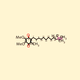 COC1=C(OC)C(=O)C(CCCCCCCCCC[PH](C)(C)C)=C(C)C1=O